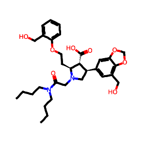 CCCCN(CCCC)C(=O)CN1C[C@H](c2cc(CO)c3c(c2)OCO3)[C@@H](C(=O)O)[C@@H]1CCOc1ccccc1CO